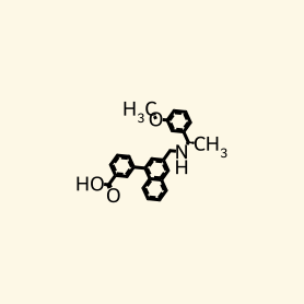 COc1cccc([C@@H](C)NCc2cc(-c3cccc(C(=O)O)c3)c3ccccc3c2)c1